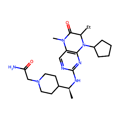 CCC1C(=O)N(C)c2cnc(N[C@@H](C)C3CCN(CC(N)=O)CC3)nc2N1C1CCCC1